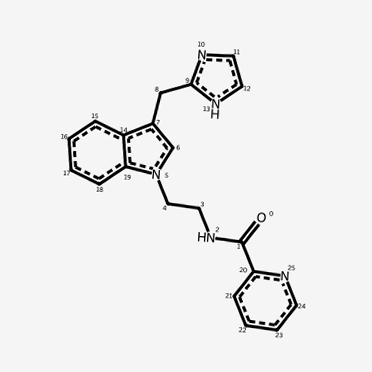 O=C(NCCn1cc(Cc2ncc[nH]2)c2ccccc21)c1ccccn1